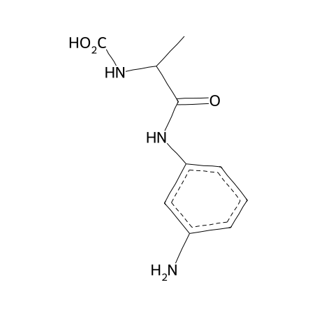 CC(NC(=O)O)C(=O)Nc1cccc(N)c1